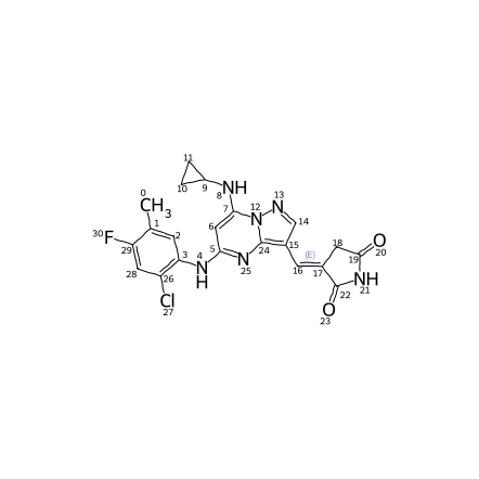 Cc1cc(Nc2cc(NC3CC3)n3ncc(/C=C4\CC(=O)NC4=O)c3n2)c(Cl)cc1F